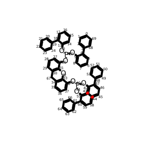 c1ccc(-c2ccccc2OP(Oc2ccccc2-c2ccccc2)Oc2cccc3c2Oc2c(cccc2OP(Oc2ccccc2-c2ccccc2)Oc2ccccc2-c2ccccc2)C3)cc1